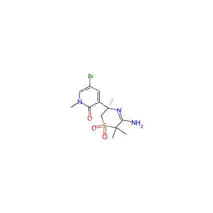 Cn1cc(Br)cc([C@]2(C)CS(=O)(=O)C(C)(C)C(N)=N2)c1=O